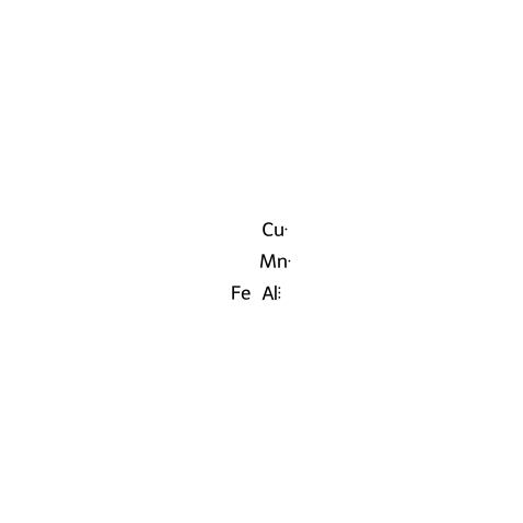 [Al].[Cu].[Fe].[Mn]